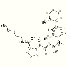 CCCCOCCCNC(=O)[C@@H]1CCCN1C(=O)/C(C)=C/C(C(C)C)N(C)C(=O)[C@@H](NC(=O)[C@H]1CCCCN1C(C)C)C(C)(C)C